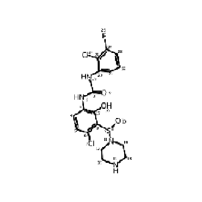 O=C(Nc1ccc(Cl)c([S+]([O-])N2CCNCC2)c1O)Nc1cccc(F)c1Cl